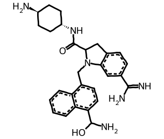 N=C(N)c1ccc2c(c1)N(Cc1ccc(C(N)O)c3ccccc13)C(C(=O)N[C@H]1CC[C@H](N)CC1)C2